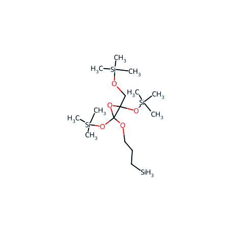 C[Si](C)(C)OCC1(O[Si](C)(C)C)OC1(OCCC[SiH3])O[Si](C)(C)C